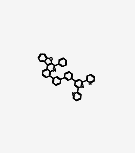 c1ccc(-c2nc3c(-c4cccc(-c5cccc(-c6cc(-c7ccccn7)nc(-c7ccccn7)c6)c5)c4)cccc3c3c2oc2ccccc23)cc1